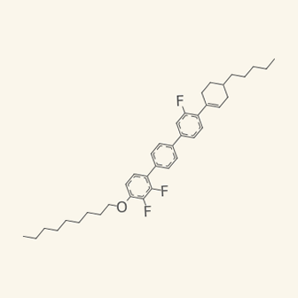 CCCCCCCCCOc1ccc(-c2ccc(-c3ccc(C4=CCC(CCCCC)CC4)c(F)c3)cc2)c(F)c1F